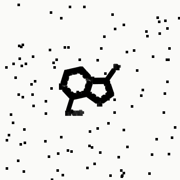 CCCC[CH]c1nccn2c(Br)cnc12